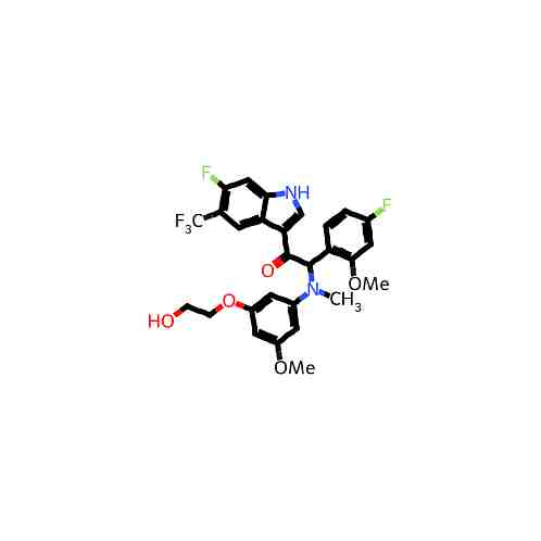 COc1cc(OCCO)cc(N(C)C(C(=O)c2c[nH]c3cc(F)c(C(F)(F)F)cc23)c2ccc(F)cc2OC)c1